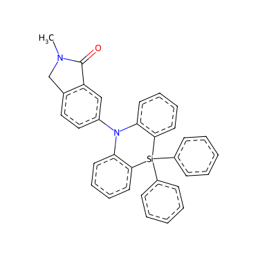 CN1Cc2ccc(N3c4ccccc4[Si](c4ccccc4)(c4ccccc4)c4ccccc43)cc2C1=O